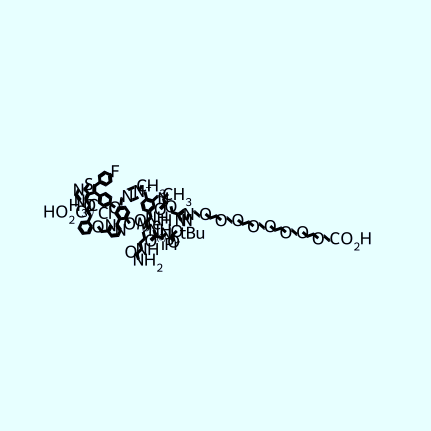 COc1ccccc1-c1nccc(COc2ccccc2C[C@@H](Oc2ncnc3sc(-c4ccc(F)cc4)c(-c4ccc(OCCN5CC[N+](C)(Cc6ccc(NC(=O)[C@H](CCCNC(N)=O)NC(=O)[C@@H](NC(=O)OC(C)(C)C)C(C)C)cc6CN(C)C(=O)OCc6cn(CCOCCOCCOCCOCCOCCOCCOCCOCCC(=O)O)nn6)CC5)c(Cl)c4C)c23)C(=O)O)n1